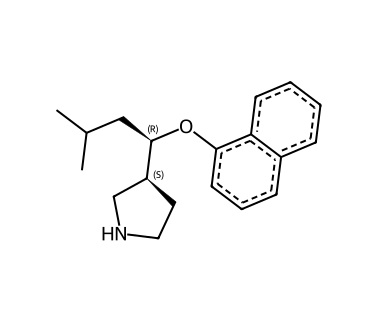 CC(C)C[C@@H](Oc1cccc2ccccc12)[C@H]1CCNC1